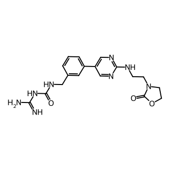 N=C(N)NC(=O)NCc1cccc(-c2cnc(NCCN3CCOC3=O)nc2)c1